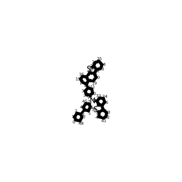 c1ccc(-c2ccc(N(c3ccc(-c4cccc5c4ccc4c6ccccc6sc54)cc3)c3cccc4c3sc3ccccc34)cc2)cc1